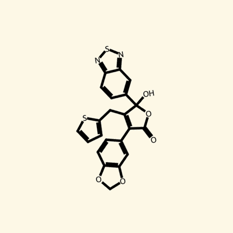 O=C1OC(O)(c2ccc3nsnc3c2)C(Cc2cccs2)=C1c1ccc2c(c1)OCO2